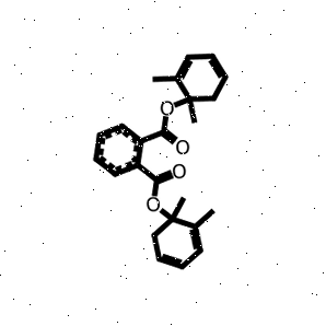 CC1=CC=CCC1(C)OC(=O)c1ccccc1C(=O)OC1(C)CC=CC=C1C